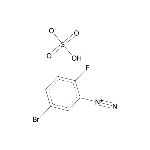 N#[N+]c1cc(Br)ccc1F.O=S(=O)([O-])O